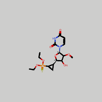 CCOP(=S)(OCC)C1CC1[C@H]1O[C@@H](n2ccc(=O)[nH]c2=O)C(OC)C1O